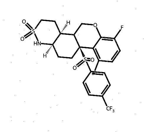 O=S1(=O)CC[C@H]2C3COc4c(F)ccc(F)c4[C@]3(S(=O)(=O)c3ccc(C(F)(F)F)cc3)CC[C@H]2N1